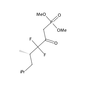 COP(=O)(CC(=O)C(F)(F)[C@@H](C)CC(C)C)OC